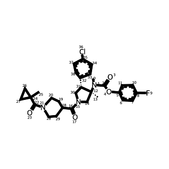 CN(C(=O)Oc1ccc(F)cc1)[C@@]1(C)CN(C(=O)C2CCN(C(=O)C3(C)CC3)CC2)C[C@@H]1c1ccc(Cl)cc1